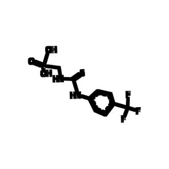 O=P(O)(O)CNC(=S)Nc1ccc(C(F)(F)F)cc1